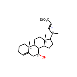 CCOC(=O)/C=C/[C@@H](C)C1CCC2C3C(CC[C@@]21C)[C@@]1(C)CCCC=C1C[C@@H]3O